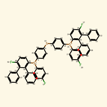 Fc1ccc([S+](c2ccc(Sc3ccc([S+](c4ccc(F)cc4)c4ccc(F)c(-c5ccccc5)c4-c4ccccc4)cc3)cc2)c2ccc(F)c(-c3ccccc3)c2-c2ccccc2)cc1